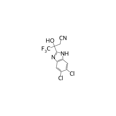 N#CCC(O)(c1nc2cc(Cl)c(Cl)cc2[nH]1)C(F)(F)F